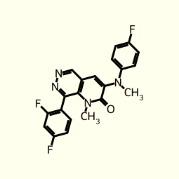 CN(c1ccc(F)cc1)c1cc2cnnc(-c3ccc(F)cc3F)c2n(C)c1=O